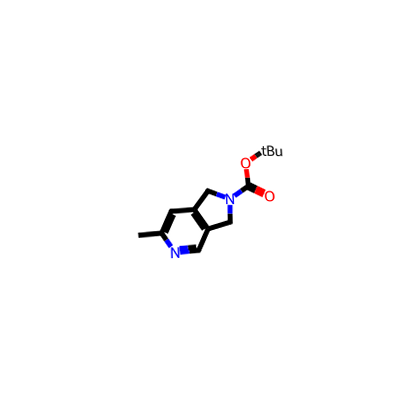 Cc1cc2c(cn1)CN(C(=O)OC(C)(C)C)C2